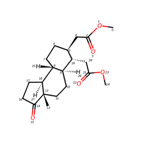 COC(=O)C[C@@H]1CC[C@@H]2[C@H](CC[C@]3(C)C(=O)CC[C@@H]23)[C@H]1CC(=O)OC